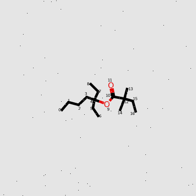 CCCCC(CC)(CC)OC(=O)C(C)(C)CC